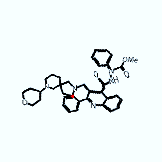 COC(=O)N(NC(=O)c1c(CN2CCC3(CCCN(C4CCOCC4)C3)C2)c(-c2ccccc2)nc2ccccc12)c1ccccc1